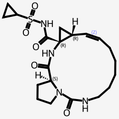 O=C1N[C@]2(C(=O)NS(=O)(=O)C3CC3)C[C@@H]2/C=C\CCCCCNC(=O)N2CCC[C@@H]12